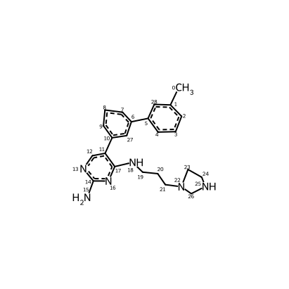 Cc1cccc(-c2cccc(-c3cnc(N)nc3NCCCN3CCNC3)c2)c1